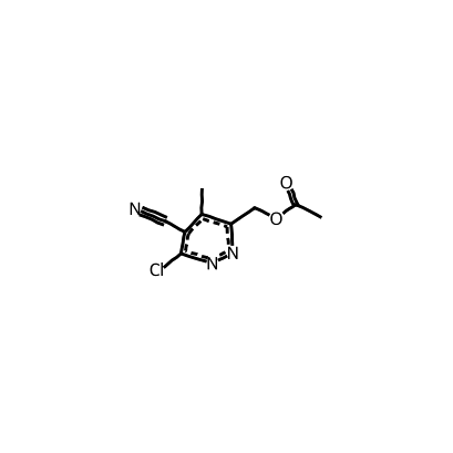 CC(=O)OCc1nnc(Cl)c(C#N)c1C